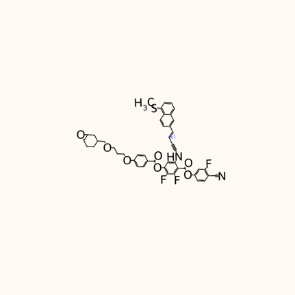 CSc1cccc2cc(/C=C/C#CNc3cc(OC(=O)c4ccc(OCCCOCC5CCC6OC6C5)cc4)c(F)c(F)c3C(=O)Oc3ccc(C#N)c(F)c3)ccc12